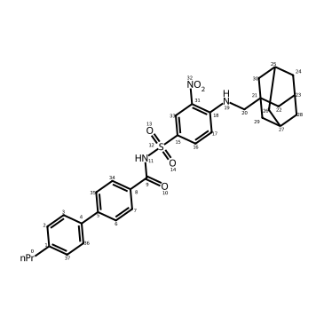 CCCc1ccc(-c2ccc(C(=O)NS(=O)(=O)c3ccc(NCC45CC6CC(CC(C6)C4)C5)c([N+](=O)[O-])c3)cc2)cc1